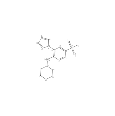 CS(=O)(=O)c1ccc(NC2CCCCC2)c(-n2ccnc2)c1